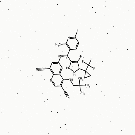 [2H]C1=C([C@@H](Nc2cc(C#N)c3ncc(C#N)c(NCC(C)(C)C)c3c2)c2ccc(F)nc2C)NNN1C1(C(F)(F)F)CC1